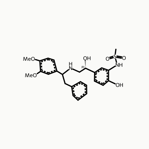 COc1ccc(C(Cc2ccccc2)NC[C@H](O)c2ccc(O)c(NS(C)(=O)=O)c2)cc1OC